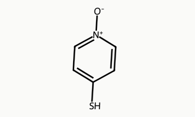 [O-][n+]1ccc(S)cc1